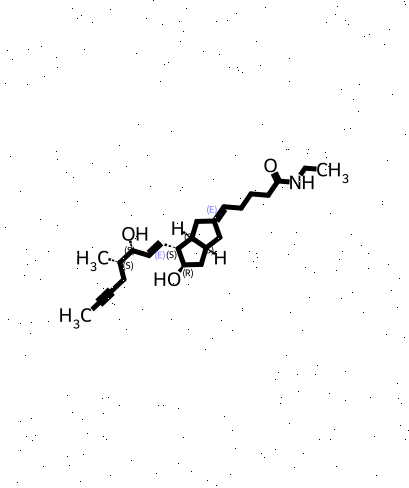 CC#CC[C@H](C)[C@H](O)/C=C/[C@@H]1[C@H]2C/C(=C/CCCC(=O)NCC)C[C@H]2C[C@H]1O